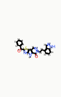 Cn1c2nc(C(=O)c3ccccc3)sc2c2cnn(CCc3cccc4[nH]ncc34)c(=O)c21